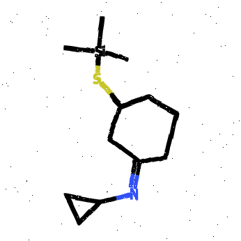 C[Si](C)(C)SC1CCCC(=NC2CC2)C1